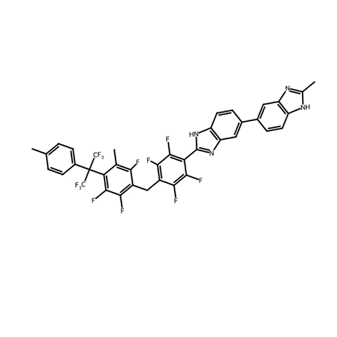 Cc1ccc(C(c2c(C)c(F)c(Cc3c(F)c(F)c(-c4nc5cc(-c6ccc7[nH]c(C)nc7c6)ccc5[nH]4)c(F)c3F)c(F)c2F)(C(F)(F)F)C(F)(F)F)cc1